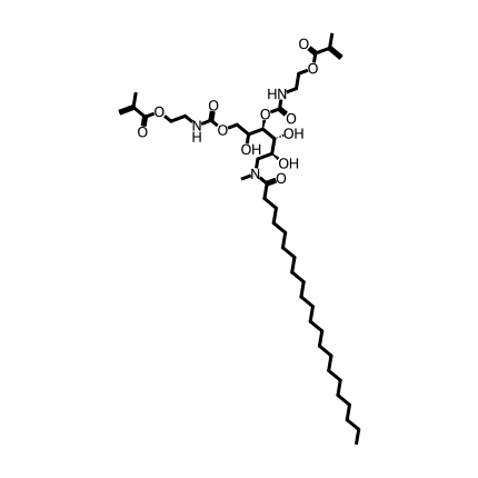 C=C(C)C(=O)OCCNC(=O)OCC(O)[C@@H](OC(=O)NCCOC(=O)C(=C)C)[C@H](O)[C@@H](O)CN(C)C(=O)CCCCCCCCCCCCCCCCCCCCC